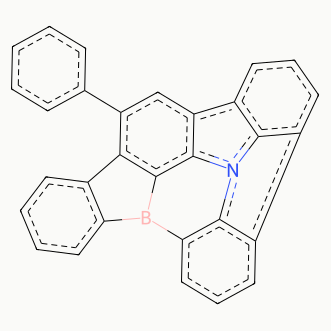 c1ccc(-c2cc3c4cccc5c6cccc7c6n(c3c3c2-c2ccccc2B73)c54)cc1